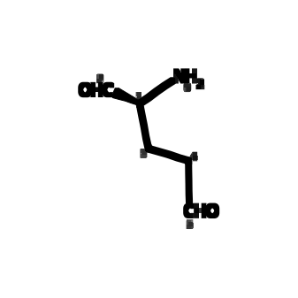 N[C@H](C=O)CCC=O